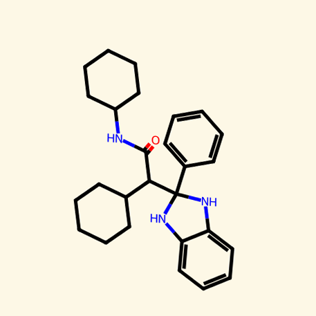 O=C(NC1CCCCC1)C(C1CCCCC1)C1(c2ccccc2)Nc2ccccc2N1